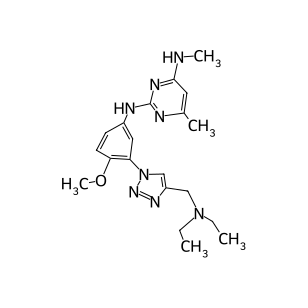 CCN(CC)Cc1cn(-c2cc(Nc3nc(C)cc(NC)n3)ccc2OC)nn1